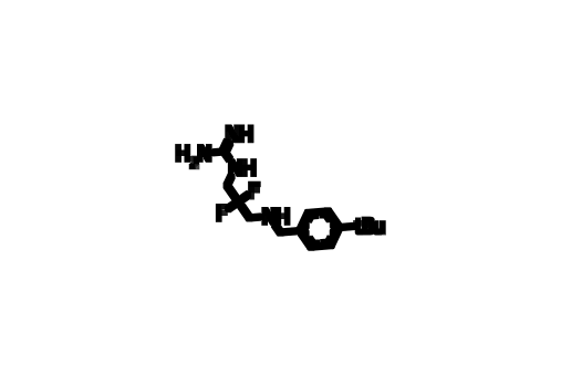 CC(C)(C)c1ccc(CNCC(F)(F)CNC(=N)N)cc1